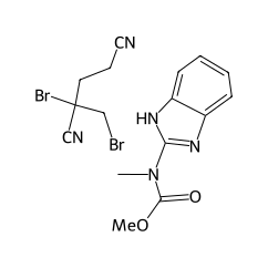 COC(=O)N(C)c1nc2ccccc2[nH]1.N#CCCC(Br)(C#N)CBr